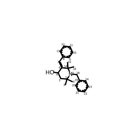 CC1(C)CC(O)C(=Cc2ccccc2)C(C)(C)N1Cc1ccccc1